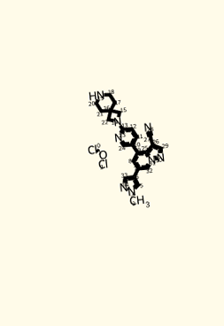 ClOCl.Cn1cc(-c2cc(-c3ccc(N4CC5(CCNCC5)C4)nc3)c3c(C#N)cnn3c2)cn1